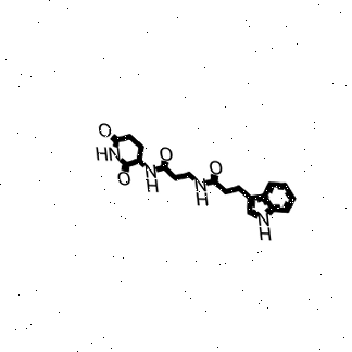 O=C(CCc1c[nH]c2ccccc12)NCCC(=O)NC1CCC(=O)NC1=O